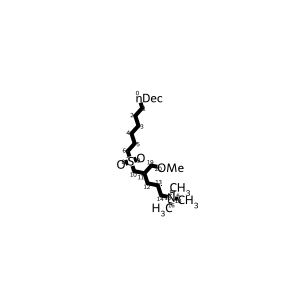 CCCCCCCCCCCCCCCCS(=O)(=O)CC(C[CH]C[N+](C)(C)C)COC